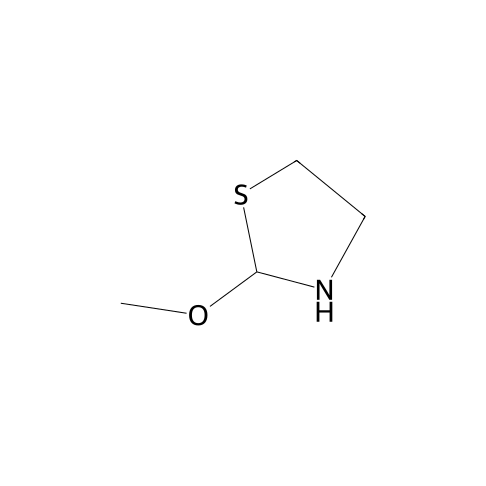 COC1NCCS1